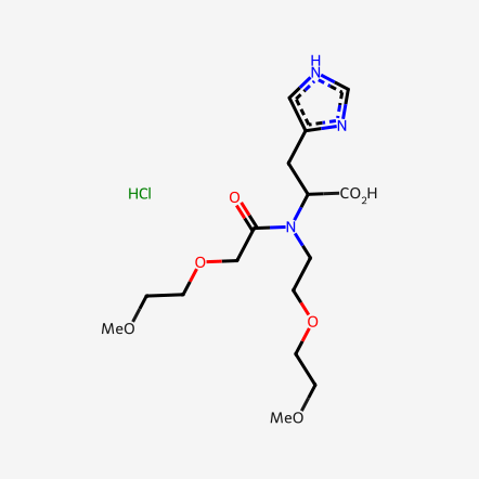 COCCOCCN(C(=O)COCCOC)C(Cc1c[nH]cn1)C(=O)O.Cl